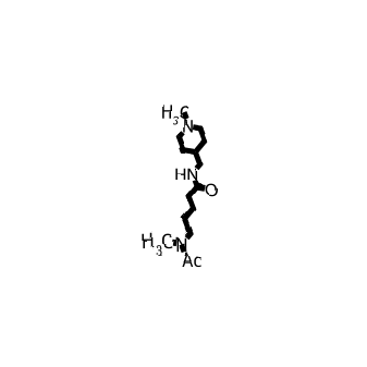 CC(=O)N(C)CCCCC(=O)NCC1CCN(C)CC1